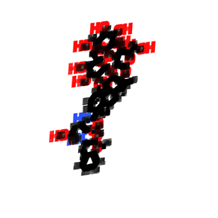 C=C1C[C@@]23CC[C@H]4[C@@](C)(CCC[C@@]4(C)C(=O)N[C@@H](CC(=O)O)C(=O)N[C@@H](Cc4ccccc4)C(=O)OC)[C@@H]2CC[C@]1(O[C@@H]1O[C@H](CO)[C@@H](O)[C@H](O[C@@H]2O[C@H](CO)[C@@H](O)[C@H](O)[C@H]2O)[C@H]1O[C@@H]1O[C@H](CO)[C@@H](O)[C@H](O)[C@H]1O)C3